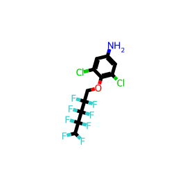 Nc1cc(Cl)c(OCC(F)(F)C(F)(F)C(F)(F)C(F)F)c(Cl)c1